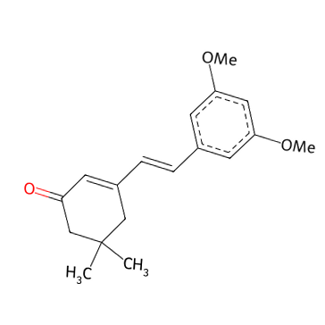 COc1cc(/C=C/C2=CC(=O)CC(C)(C)C2)cc(OC)c1